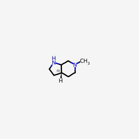 CN1CC[C@@H]2CCNC2C1